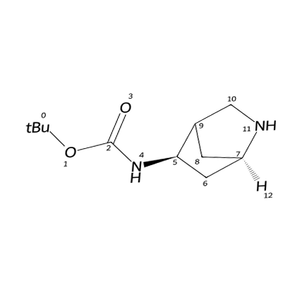 CC(C)(C)OC(=O)N[C@@H]1C[C@H]2CC1CN2